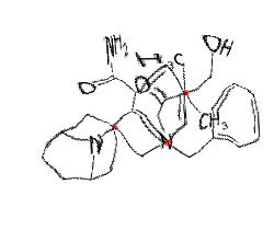 CC(C)(CO)C(=O)N(CCN1C2CCC1CC(c1ccccc1C(N)=O)C2)Cc1ccccc1